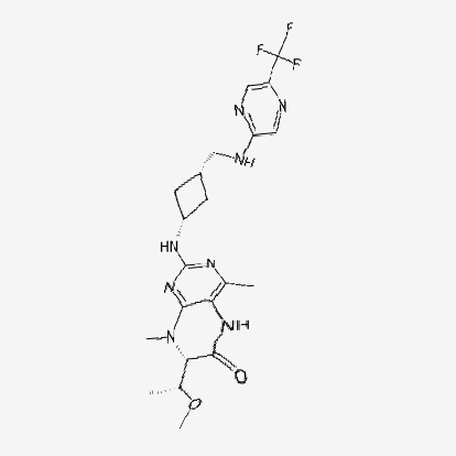 CO[C@H](C)[C@H]1C(=O)Nc2c(C)nc(N[C@H]3C[C@@H](CNc4cnc(C(F)(F)F)cn4)C3)nc2N1C